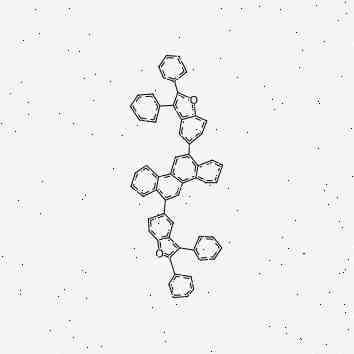 c1ccc(-c2oc3ccc(-c4cc5c6ccccc6c(-c6ccc7oc(-c8ccccc8)c(-c8ccccc8)c7c6)cc5c5ccccc45)cc3c2-c2ccccc2)cc1